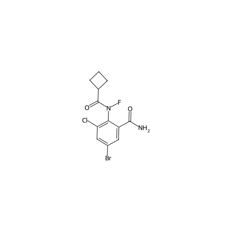 NC(=O)c1cc(Br)cc(Cl)c1N(F)C(=O)C1CCC1